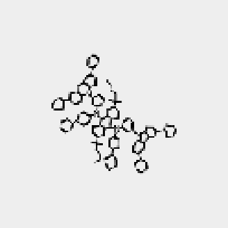 CCCCC(C)(C)c1ccc2c(N(c3ccc(-c4ccccc4)cc3)c3cccc(-n4c5ccc(-c6ccccc6)cc5c5cc(-c6ccccc6)ccc54)c3)c3cc(C(C)(C)CCCC)ccc3c(N(c3ccc(-c4ccccc4)cc3)c3cccc(N4c5ccc(-c6ccccc6)cc5Cc5cc(-c6ccccc6)ccc54)c3)c2c1